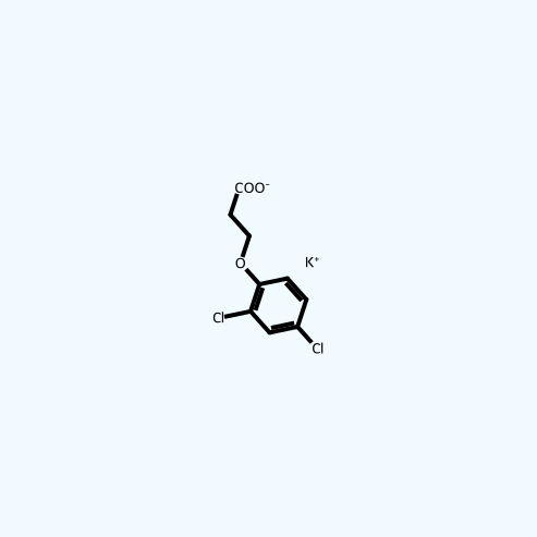 O=C([O-])CCOc1ccc(Cl)cc1Cl.[K+]